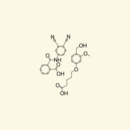 COc1cc(OCCCCC(=O)O)ccc1CO.N#Cc1ccc(NC(=O)c2ccccc2C(=O)O)cc1C#N